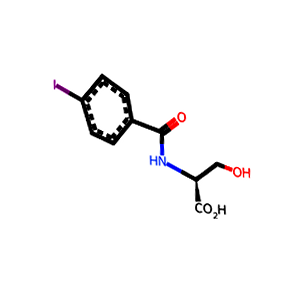 O=C(N[C@@H](CO)C(=O)O)c1ccc(I)cc1